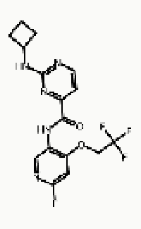 O=C(Nc1cnc(F)cc1OCC(F)(F)F)c1ccnc(NC2CCC2)n1